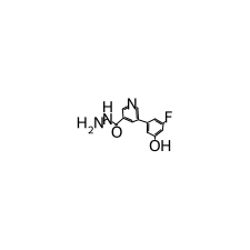 NNC(=O)c1cncc(-c2cc(O)cc(F)c2)c1